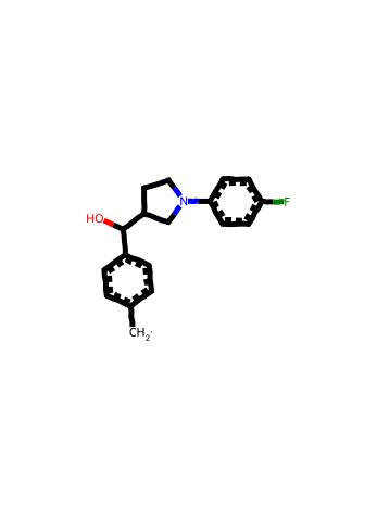 [CH2]c1ccc(C(O)C2CCN(c3ccc(F)cc3)C2)cc1